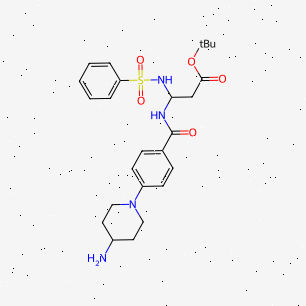 CC(C)(C)OC(=O)CC(NC(=O)c1ccc(N2CCC(N)CC2)cc1)NS(=O)(=O)c1ccccc1